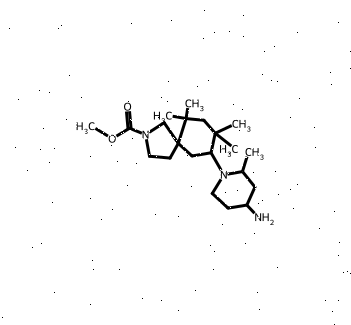 COC(=O)N1CCC2(CC(N3CCC(N)CC3C)C(C)(C)CC2(C)C)C1